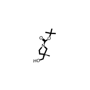 CC(C)(C)OC(=O)N1CC[C@@](C)(CO)C1